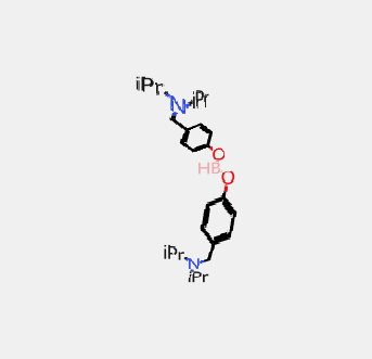 CC(C)N(Cc1ccc(OBOc2ccc(CN(C(C)C)C(C)C)cc2)cc1)C(C)C